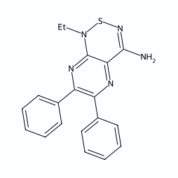 CCN1SN=C(N)c2nc(-c3ccccc3)c(-c3ccccc3)nc21